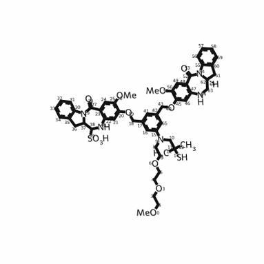 COCCOCCOCCN(CC(C)(C)S)c1cc(COc2cc3c(cc2OC)C(=O)N2c4ccccc4CC2C(S(=O)(=O)O)N3)cc(COc2cc3c(cc2OC)C(=O)N2c4ccccc4C[C@H]2CN3)c1